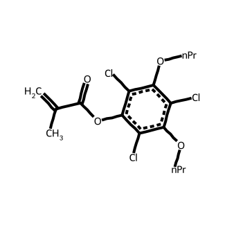 C=C(C)C(=O)Oc1c(Cl)c(OCCC)c(Cl)c(OCCC)c1Cl